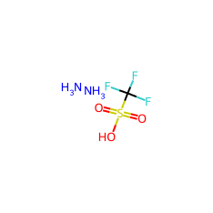 N.N.O=S(=O)(O)C(F)(F)F